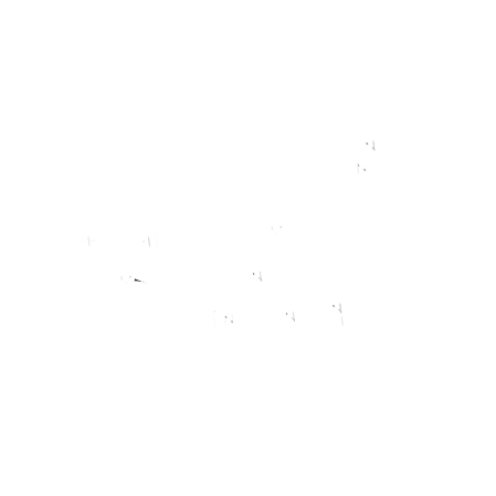 [2H]C([2H])([2H])O[C@H]1CC[C@H](Nc2nc(OC)c3c(-c4ccn5nccc5c4)c[nH]c3n2)CC1